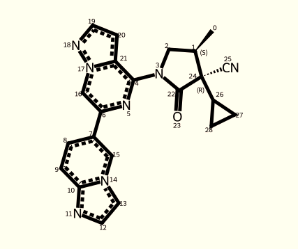 C[C@@H]1CN(c2nc(-c3ccc4nccn4c3)cn3nccc23)C(=O)[C@]1(C#N)C1CC1